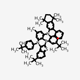 Cc1cc2c3c(c1)N(c1ccc(C(C)(C)C)cc1)c1c(sc4ccc(C(C)(C)C)cc14)B3c1cc(C(C)(C)C)ccc1N2c1cc2c(cc1-c1ccccc1)C(C)(C)CCC2(C)C